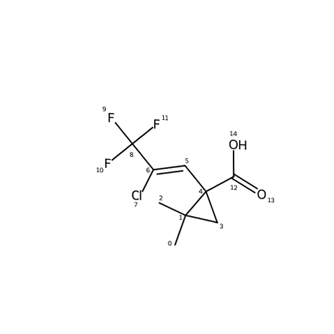 CC1(C)CC1(C=C(Cl)C(F)(F)F)C(=O)O